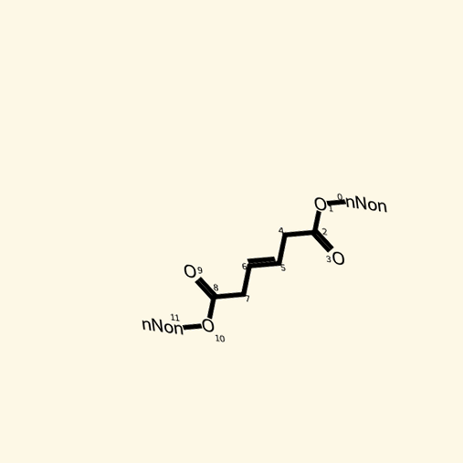 CCCCCCCCCOC(=O)C/C=C/CC(=O)OCCCCCCCCC